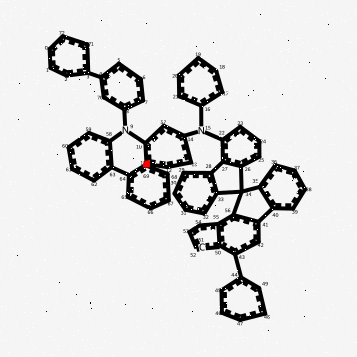 c1ccc(-c2cccc(N(c3cccc(N(c4ccccc4)c4cccc5c4-c4ccccc4C54c5ccccc5-c5cc(-c6ccccc6)c6ccccc6c54)c3)c3ccccc3-c3ccccc3)c2)cc1